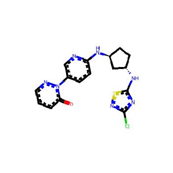 O=c1cccnn1-c1ccc(N[C@H]2CC[C@H](Nc3nc(Cl)ns3)C2)nc1